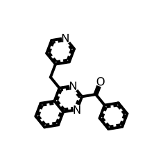 O=C(c1ccccc1)c1nc(Cc2ccncc2)c2ccccc2n1